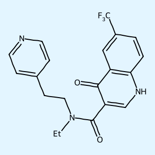 CCN(CCc1ccncc1)C(=O)c1c[nH]c2ccc(C(F)(F)F)cc2c1=O